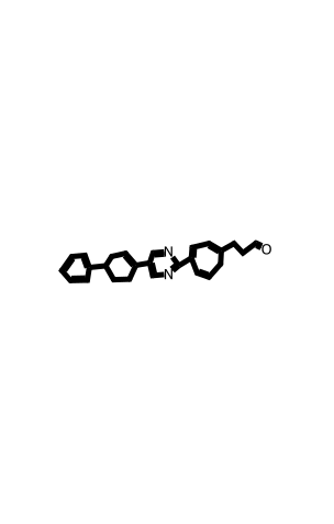 O=CCCC1=CC=C(c2ncc(C3=CCC(c4ccccc4)CC3)cn2)C=CC1